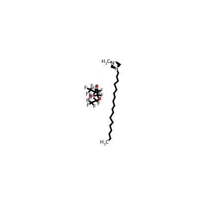 CCCCCCCCCCCCCCCCCCn1cc[n+](C)c1.FC(F)(F)C(F)(F)[P-](F)(F)(F)(C(F)(F)C(F)(F)F)C(F)(F)C(F)(F)F